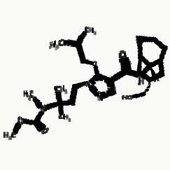 COC(=O)N(C)C(C)(C)/C=C/n1ncc(C(=O)N[C@H]2C3CCCC2C[C@@H](CO)C3)c1OCC(C)C